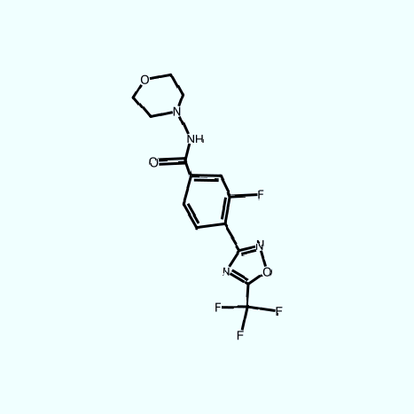 O=C(NN1CCOCC1)c1ccc(-c2noc(C(F)(F)F)n2)c(F)c1